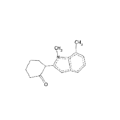 Cc1cccc2cc(C3CCCCC3=O)n(C)c12